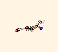 Cc1c(COc2cc(OCc3cccnc3)c(CNC(C)C(=O)O)cc2Cl)cccc1-c1cccc(OCCCN2CCC3(CCOC3)CC2)c1C